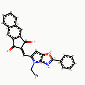 CC(C)Cn1c(C=C2C(=O)c3cc4ccccc4cc3C2=O)cc2oc(-c3ccccc3)nc21